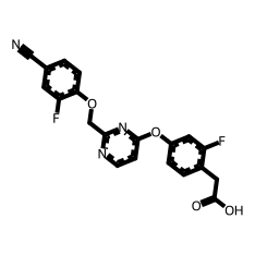 N#Cc1ccc(OCc2nccc(Oc3ccc(CC(=O)O)c(F)c3)n2)c(F)c1